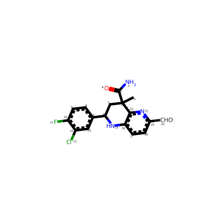 CC1(C(N)=O)CC(c2ccc(F)c(Cl)c2)Nc2ccc([C]=O)nc21